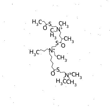 CCCC[N+](CCC)(CCCCCC(=O)SCC[N+](CC)(CC)CC)CCSC(=O)C(C)CC[N+](CC)(CC)CCSC(=O)CC